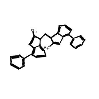 CC1=Cc2c(-c3ccccc3)cccc2C1CC1C(C)=Cc2c(-c3ccccc3)cccc21